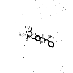 CCC(=O)N[C@H](Cc1ccc(NC(=O)[C@@H](N)C2CCCCC2)c(F)c1)C(=O)OC